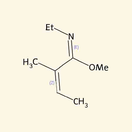 C/C=C(C)\C(=N/CC)OC